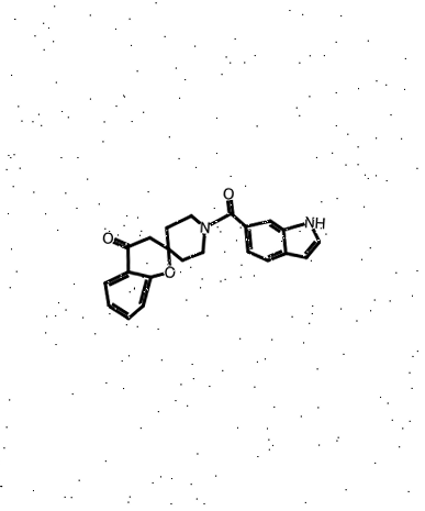 O=C1CC2(CCN(C(=O)c3ccc4cc[nH]c4c3)CC2)Oc2ccccc21